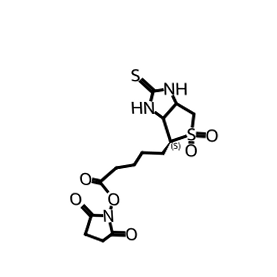 O=C(CCCC[C@H]1C2NC(=S)NC2CS1(=O)=O)ON1C(=O)CCC1=O